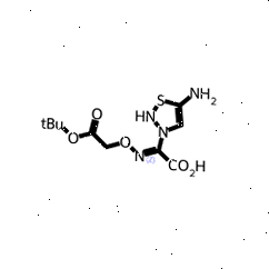 CC(C)(C)OC(=O)CO/N=C(/C(=O)O)N1C=C(N)SN1